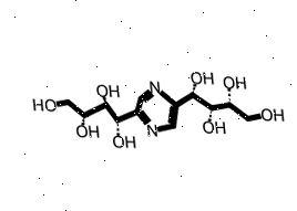 OC[C@@H](O)[C@H](O)[C@@H](O)c1cnc([C@H](O)[C@@H](O)[C@H](O)CO)cn1